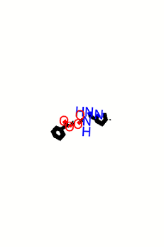 N=C(NC(=O)OCOC(=O)c1ccccc1)c1cc[c]cn1